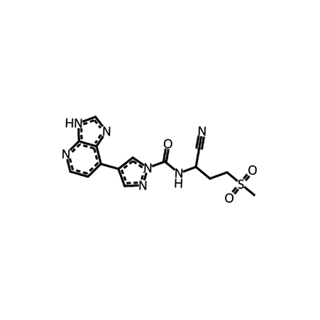 CS(=O)(=O)CCC(C#N)NC(=O)n1cc(-c2ccnc3[nH]cnc23)cn1